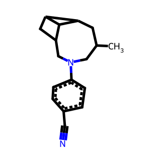 CC1CC2C3CC(CN(c4ccc(C#N)cc4)C1)C23